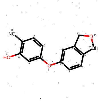 N#Cc1ccc(Oc2ccc3c(c2)COB3)cc1O